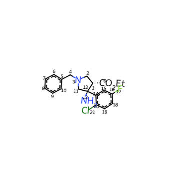 CCOC(=O)[C@H]1CN(Cc2ccccc2)C[C@@]1(N)c1cc(F)ccc1Cl